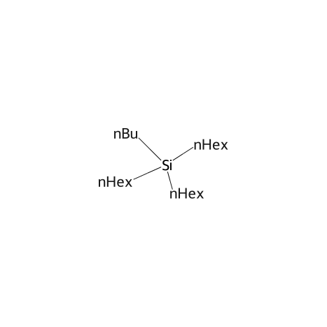 CCCCCC[Si](CCCC)(CCCCCC)CCCCCC